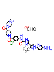 Cn1c(-c2cn(-c3ccc(N)cn3)nc2C(F)(F)F)cnc1C(=O)Nc1ccc(C(=O)N2CCC(C(=O)N3CC[N+](C)(C)CC3)CC2)c(Cl)c1.O=C[O-]